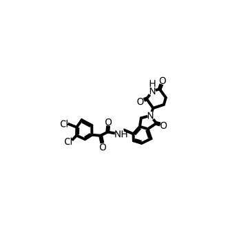 O=C1CCC(N2Cc3c(CNC(=O)C(=O)c4ccc(Cl)c(Cl)c4)cccc3C2=O)C(=O)N1